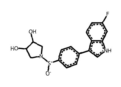 [O-][S+](c1ccc(-c2c[nH]c3cc(F)ccc23)cc1)N1CC(O)C(O)C1